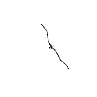 CCCCCCCCCCCCCCCCCCCCCCCCCCCCOC(=O)CCCCCCCCCCCCCCCCCCCCCCCCCCC